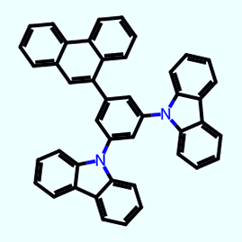 c1ccc2c(c1)cc(-c1cc(-n3c4ccccc4c4ccccc43)cc(-n3c4ccccc4c4ccccc43)c1)c1ccccc12